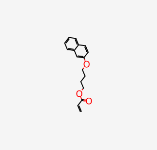 C=CC(=O)OCCCCOc1ccc2ccccc2c1